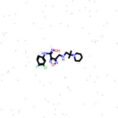 CC(C)(CNCc1nonc1/C(=N\O)Nc1ccc(F)c(Cl)c1)N1CCCCC1